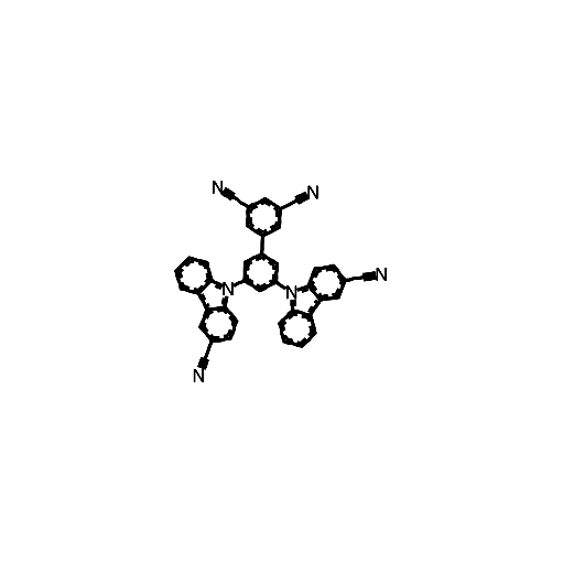 N#Cc1cc(C#N)cc(-c2cc(-n3c4ccccc4c4cc(C#N)ccc43)cc(-n3c4ccccc4c4cc(C#N)ccc43)c2)c1